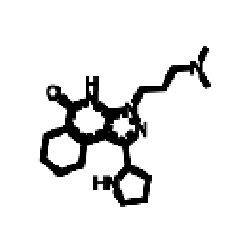 CN(C)CCCn1nc(C2CCCN2)c2c3c(c(=O)[nH]c21)CCCC3